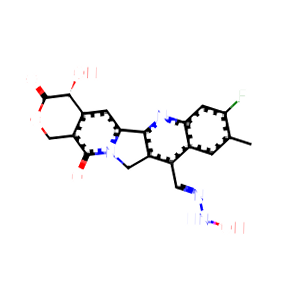 Cc1cc2c(/C=N/NO)c3c(nc2cc1F)-c1cc2c(c(=O)n1C3)COC(=O)[C@H]2O